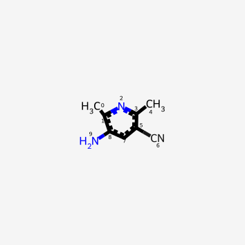 Cc1nc(C)c(C#N)cc1N